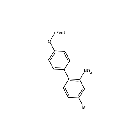 CCCCCOc1ccc(-c2ccc(Br)cc2[N+](=O)[O-])cc1